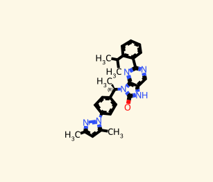 Cc1cc(C)n(-c2ccc([C@@H](C)n3c(=O)[nH]c4cnc(-c5ccccc5C(C)C)nc43)cc2)n1